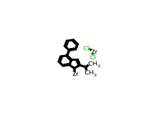 CC(C)C1=Cc2c(-c3ccccc3)cccc2[CH]1[Zr].[Cl][Zr][Cl]